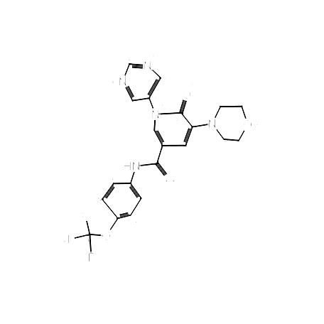 O=C(Nc1ccc(OC(F)(F)Cl)cc1)c1cc(N2CCOCC2)c(=O)n(-c2cncnc2)c1